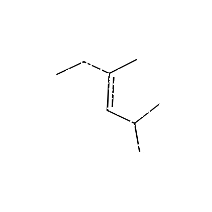 [CH2]CC(C)=CC([CH2])C